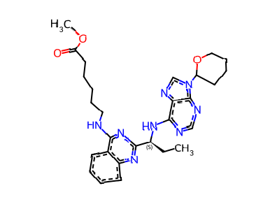 CC[C@H](Nc1ncnc2c1ncn2C1CCCCO1)c1nc(NCCCCCC(=O)OC)c2ccccc2n1